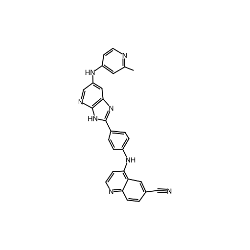 Cc1cc(Nc2cnc3[nH]c(-c4ccc(Nc5ccnc6ccc(C#N)cc56)cc4)nc3c2)ccn1